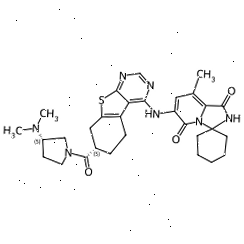 Cc1cc(Nc2ncnc3sc4c(c23)CC[C@H](C(=O)N2CC[C@H](N(C)C)C2)C4)c(=O)n2c1C(=O)NC21CCCCC1